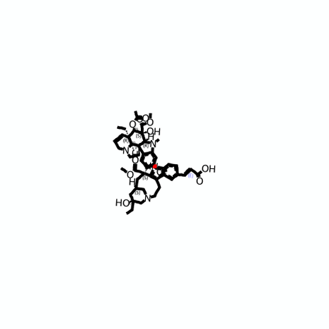 CC[C@]1(O)C[C@H]2CN(CCc3c([nH]c4ccc(/C=C/C(=O)O)cc34)[C@@](C(=O)OC)(c3cc4c(cc3OC)N(C)[C@H]3[C@@](O)(C(=O)OC)[C@H](OC(C)=O)[C@]5(CC)C=CCN6CC[C@]43[C@@H]65)C2)C1